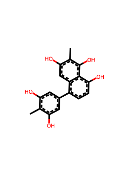 Cc1c(O)cc(-c2ccc(O)c3c(O)c(C)c(O)cc23)cc1O